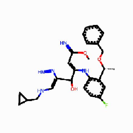 COC(=N)/C=C(\Nc1ccc(F)cc1[C@@H](C)OCc1ccccc1)C(O)/C(=C/NCC1CC1)N=N